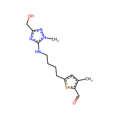 Cc1cc(CCCCNc2nc(CO)nn2C)sc1C=O